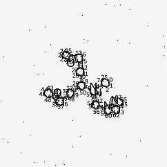 c1ccc(-c2nc(-c3cc(-c4ccc(-c5cccc6c5oc5ccccc56)cc4)cc(-c4ccc(-c5cccc6c5oc5ccccc56)cc4)c3)cc(-c3cccc(-c4ccc5ccc6cccnc6c5n4)c3)n2)cc1